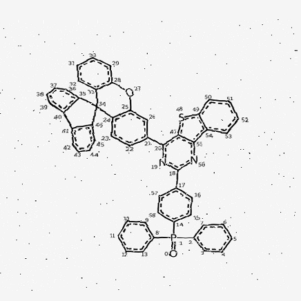 O=P(c1ccccc1)(c1ccccc1)c1ccc(-c2nc(-c3ccc4c(c3)Oc3ccccc3C43c4ccccc4-c4ccccc43)c3sc4ccccc4c3n2)cc1